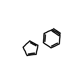 C1=CCC=C1.c1ccccc#1